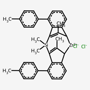 CC1=C2c3c(-c4ccc(C)cc4)cccc3[CH]1[Zr+2][CH]1C(C)=C(c3c(-c4ccc(C)cc4)cccc31)[Si]2(C)C.[Cl-].[Cl-]